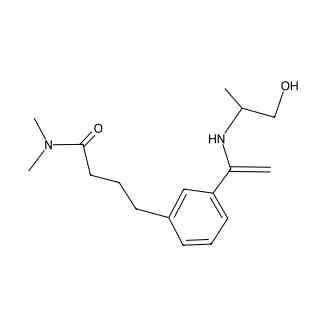 C=C(NC(C)CO)c1cccc(CCCC(=O)N(C)C)c1